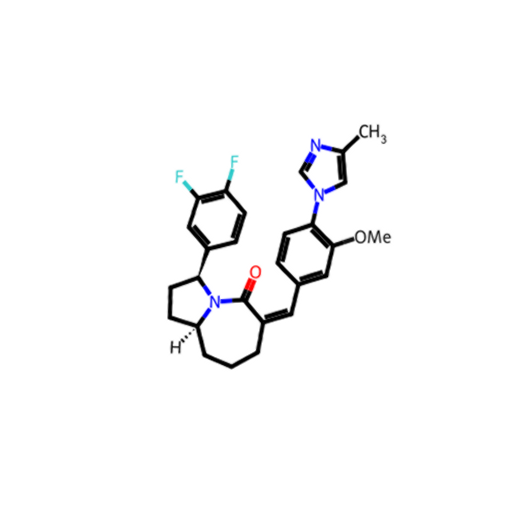 COc1cc(/C=C2/CCC[C@H]3CC[C@@H](c4ccc(F)c(F)c4)N3C2=O)ccc1-n1cnc(C)c1